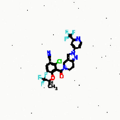 C[C@H](Oc1ccc(C#N)c(Cl)c1C(=O)N1CCc2nn(-c3ccnc(C(F)(F)F)c3)cc2C1)C(F)(F)F